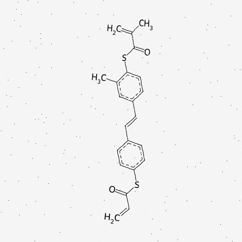 C=CC(=O)Sc1ccc(/C=C/c2ccc(SC(=O)C(=C)C)c(C)c2)cc1